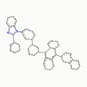 c1ccc(-c2nc3ccccc3n2-c2cccc(-c3cccc(-c4c5ccccc5c(-c5ccc6ccccc6c5)c5ccccc45)c3)c2)cc1